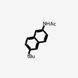 CC(=O)Nc1ccc2cc(C(C)(C)C)ccc2c1